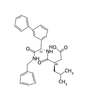 CC(C)C[C@H](CC(=O)O)C(=O)N[C@H](C(=O)NCc1ccccc1)c1cccc(-c2ccccc2)c1